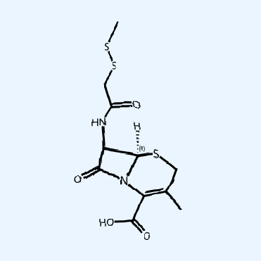 CSSCC(=O)NC1C(=O)N2C(C(=O)O)=C(C)CS[C@H]12